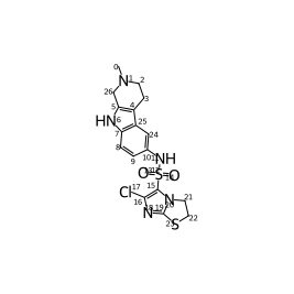 CN1CCc2c([nH]c3ccc(NS(=O)(=O)c4c(Cl)nc5n4CCS5)cc23)C1